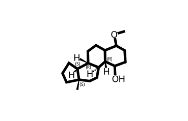 COC1CCC(O)[C@H]2C1CC[C@@H]1[C@@H]2CC[C@]2(C)CCC[C@@H]12